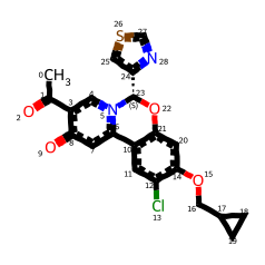 CC(=O)c1cn2c(cc1=O)-c1cc(Cl)c(OCC3CC3)cc1O[C@H]2c1cscn1